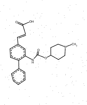 CN1CCC(OC(=O)Nc2cc(C=CC(=O)O)ccc2-c2ccccc2)CC1